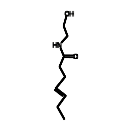 CCC=CCCC(=O)NCCO